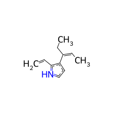 C=Cc1[nH]ccc1/C(=C\C)CC